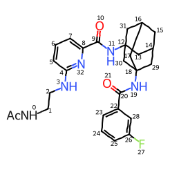 CC(=O)NCCNc1cccc(C(=O)NC23CC4CC(CC(NC(=O)c5cccc(F)c5)(C4)C2)C3)n1